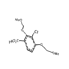 COCOc1ccc(C(=O)O)c(OCOC)c1Cl